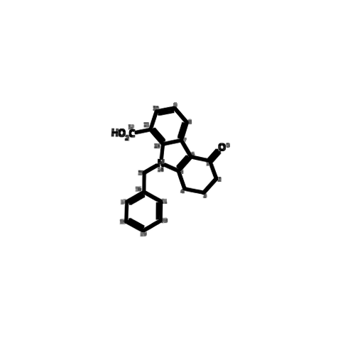 O=C1CCCc2c1c1cccc(C(=O)O)c1n2Cc1ccccc1